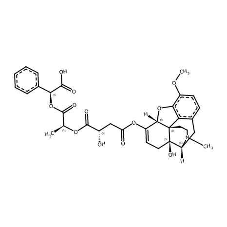 COc1ccc2c3c1O[C@H]1C(OC(=O)C[C@H](O)C(=O)O[C@@H](C)C(=O)O[C@H](C(=O)O)c4ccccc4)=CC[C@@]4(O)[C@@H](C2)N(C)CC[C@]314